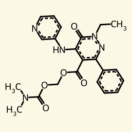 CCn1nc(-c2ccccc2)c(C(=O)OCOC(=O)N(C)C)c(Nc2cccnc2)c1=O